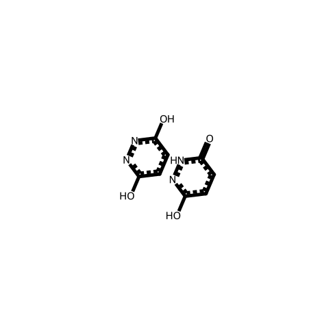 O=c1ccc(O)n[nH]1.Oc1ccc(O)nn1